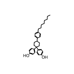 CCCCCCCCc1ccc(C2CCC(c3ccc(O)cc3)(c3ccc(O)cc3)CC2)cc1